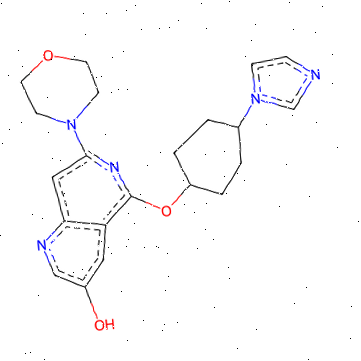 Oc1cnc2cc(N3CCOCC3)nc(OC3CCC(n4ccnc4)CC3)c2c1